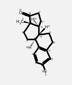 C[C@]12CC[C@@H]3c4ccc([18F])cc4CC[C@H]3[C@@H]1CCC2=O